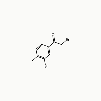 Cc1ccc(C(=O)CBr)cc1Br